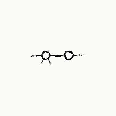 CCCCCCCc1ccc(C#Cc2ccc(OC)c(F)c2F)cc1